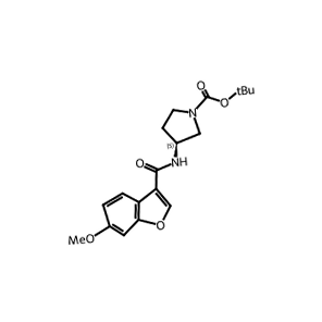 COc1ccc2c(C(=O)N[C@H]3CCN(C(=O)OC(C)(C)C)C3)coc2c1